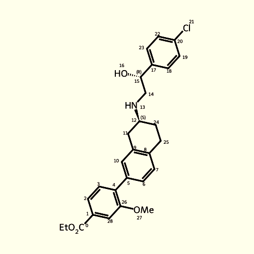 CCOC(=O)c1ccc(-c2ccc3c(c2)C[C@@H](NC[C@H](O)c2ccc(Cl)cc2)CC3)c(OC)c1